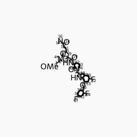 COCCN(C)C(=O)O[C@@H](CC/C=C/C(=O)N(C)C)C(=O)Nc1cccn(Cc2cc3cc(F)cc(OCc4ccc(F)cc4F)c3[nH]2)c1=O